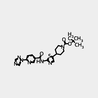 CC(C)(C)OC(=O)N1CCC(c2cnc(NC(=O)c3ccc(-n4cncn4)nc3)s2)CC1